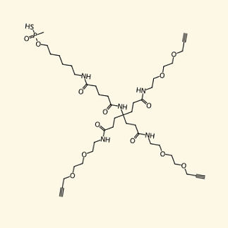 C#CCOCCOCCNC(=O)CCC(CCC(=O)NCCOCCOCC#C)(CCC(=O)NCCOCCOCC#C)NC(=O)CCCC(=O)NCCCCCCOP(C)(=O)S